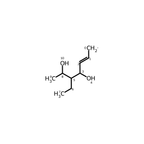 [CH2]/C=C/C(O)C(CC)C(C)O